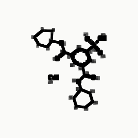 O=C(OC1CCCCC1)c1cc(C(=O)OC2CCCCC2)cc(S(=O)(=O)O)c1.[CsH]